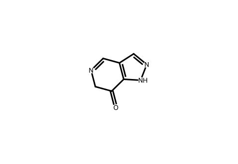 O=C1CN=Cc2cn[nH]c21